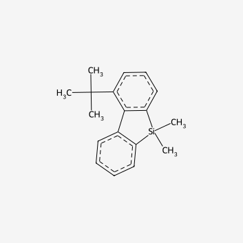 CC(C)(C)c1cccc2c1-c1ccccc1[Si]2(C)C